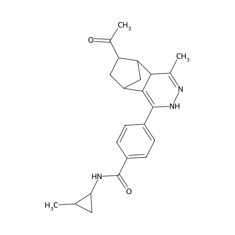 CC(=O)C1CC2CC1C1C(C)=NNC(c3ccc(C(=O)NC4CC4C)cc3)=C21